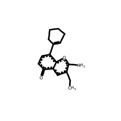 CCc1cc2c(=O)ccc(C3=CCCCC3)c-2oc1N